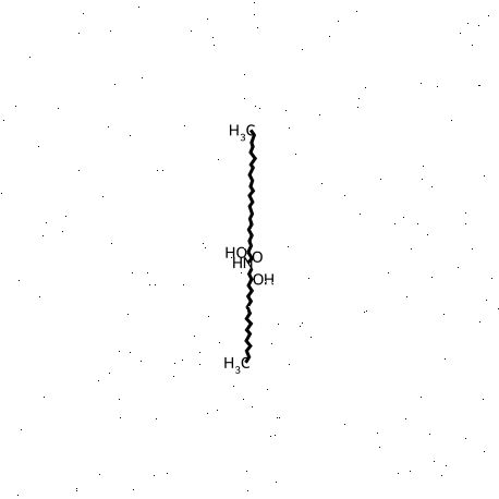 CCCCCCCCCCCCCCCCCCCCCCC(O)C(=O)NCC[C@H](O)CCCCCCCCCCCCCCC